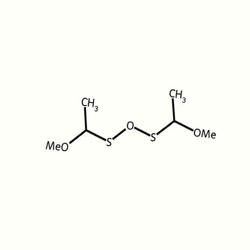 COC(C)SOSC(C)OC